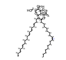 CCCCCCCC/C=C\CCCCCCCC(=O)N(CCCCCCCCCCCCCCCCCC)[C@@H]1O[C@H](CO)[C@@H](O)[C@H](O)[C@@H]1NC(C)=O